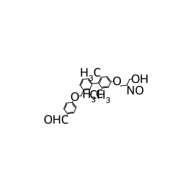 Cc1cc(OC[C@H](CO)N=O)cc(C)c1-c1cccc(COc2ccc(C=O)cc2)c1C